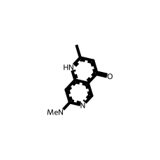 CNc1cc2[nH]c(C)cc(=O)c2cn1